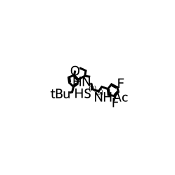 CC(=O)N[C@@H](Cc1cc(F)cc(F)c1)[C@H](S)CNC1(C)CCOc2ccc(CC(C)(C)C)cc21